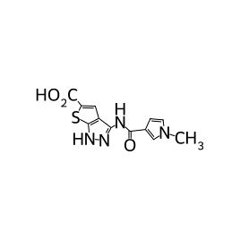 Cn1ccc(C(=O)Nc2n[nH]c3sc(C(=O)O)cc23)c1